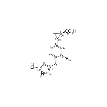 O=C(O)[C@@H]1C[C@H]1c1ccc(Cn2cnc(Cl)c2)c(F)c1